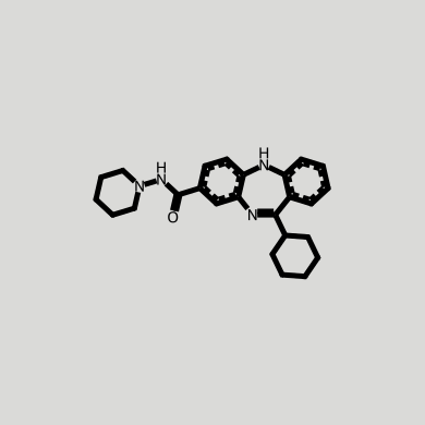 O=C(NN1CCCCC1)c1ccc2c(c1)N=C(C1CCCCC1)c1ccccc1N2